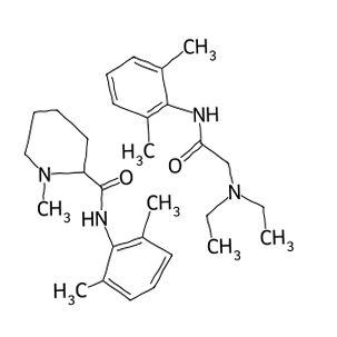 CCN(CC)CC(=O)Nc1c(C)cccc1C.Cc1cccc(C)c1NC(=O)C1CCCCN1C